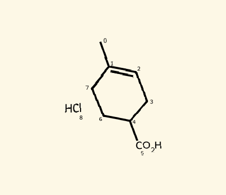 CC1=CCC(C(=O)O)CC1.Cl